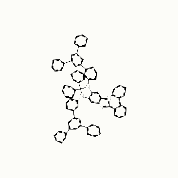 c1ccc(-c2cc(-c3ccccc3)cc(-c3cccc(N4c5cc6nc7c8ccccc8c8ccccc8n7c6cc5N(c5cccc(-c6cc(-c7ccccc7)cc(-c7ccccc7)c6)c5)C4(c4ccccc4)c4ccccc4)c3)c2)cc1